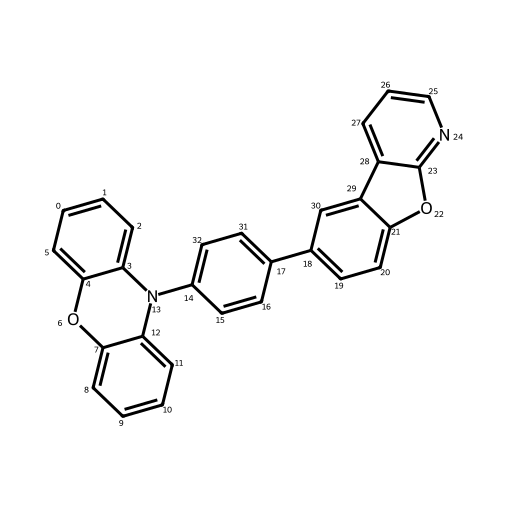 c1ccc2c(c1)Oc1ccccc1N2c1ccc(-c2ccc3oc4ncccc4c3c2)cc1